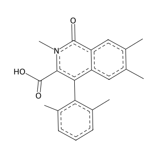 Cc1cc2c(-c3c(C)cccc3C)c(C(=O)O)n(C)c(=O)c2cc1C